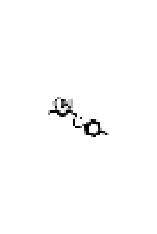 Cc1ccc(OCc2cc(C)on2)cc1